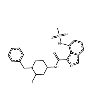 CS(=O)(=O)Nc1cccc2coc(C(=O)NC3CCN(Cc4ccccc4)C(I)C3)c12